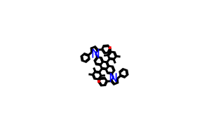 CC1=CC(C)C(C)C(c2c3cc(-n4c(-c5ccccc5)ccc4-c4ccccc4)ccc3c(-c3c(C)c(C)cc(C)c3C)c3cc(-n4c(-c5ccccc5)ccc4-c4ccccc4)ccc23)=C1C